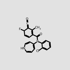 CC1=C(C(=O)N(C2=CC=CNC=C2)c2ccccc2Cl)C=CC(F)C1=C=O